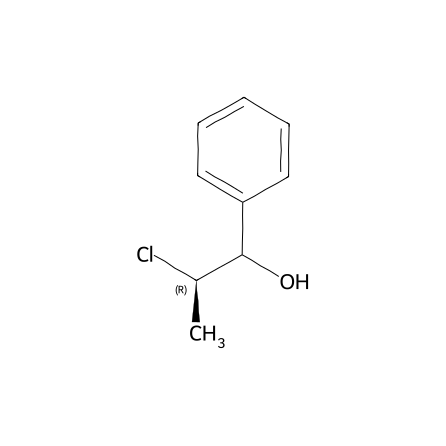 C[C@@H](Cl)C(O)c1ccccc1